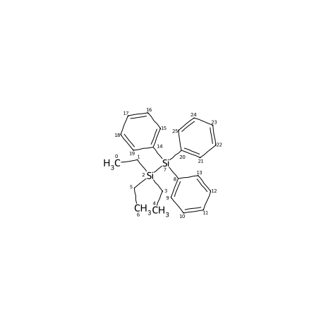 CC[Si](CC)(CC)[Si](c1ccccc1)(c1ccccc1)c1ccccc1